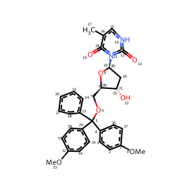 COc1ccc(C(OC[C@H]2O[C@@H](n3c(=O)[nH]cc(C)c3=O)C[C@@H]2O)(c2ccccc2)c2ccc(OC)cc2)cc1